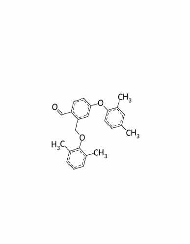 Cc1ccc(Oc2ccc(C=O)c(COc3c(C)cccc3C)c2)c(C)c1